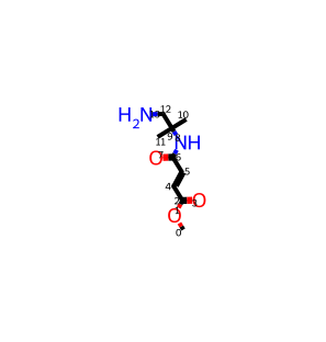 COC(=O)/C=C/C(=O)NC(C)(C)CN